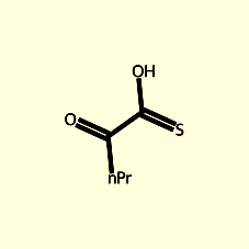 CCCC(=O)C(O)=S